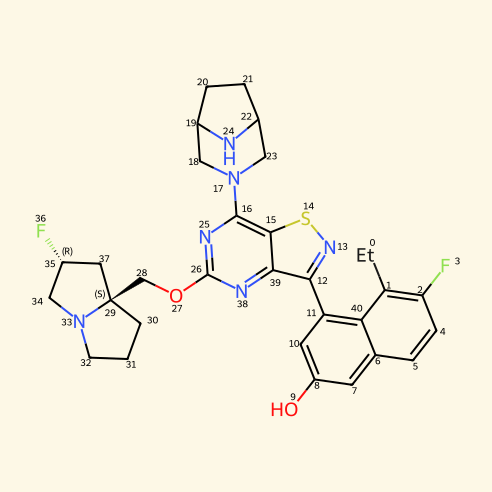 CCc1c(F)ccc2cc(O)cc(-c3nsc4c(N5CC6CCC(C5)N6)nc(OC[C@@]56CCCN5C[C@H](F)C6)nc34)c12